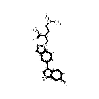 CN(C)CCC(Cn1ncc2cc(-c3c[nH]c4cc(F)ccc34)ccc21)C(N)=O